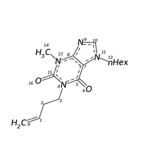 C=CCCn1c(=O)c2c(ncn2CCCCCC)n(C)c1=O